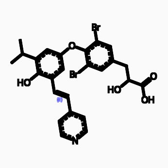 CC(C)c1cc(Oc2c(Br)cc(CC(O)C(=O)O)cc2Br)cc(/C=C/c2ccncc2)c1O